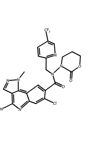 Cn1ncc2c(N)nc3cc(Cl)c(C(=O)N(Cc4ccc(C(F)(F)F)cn4)N4CCCOC4=O)cc3c21